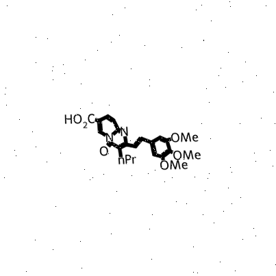 CCCc1c(C=Cc2cc(OC)c(OC)c(OC)c2)nc2ccc(C(=O)O)cn2c1=O